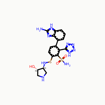 Nc1nc2c(-c3ccc(SN[C@H]4CNC[C@@H]4O)c(S(N)(=O)=O)c3-c3nnn[nH]3)cccc2[nH]1